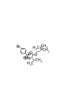 CC(C)[C@@H](NS(=O)(=O)c1ccc(Br)cc1)C(=O)OCC[Si](C)(C)C